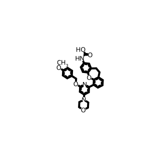 COc1ccc(COc2cc(N3CCOCC3)cc(-c3cccc4c3Oc3ccc(NC(=O)O)cc3CC4)n2)cc1